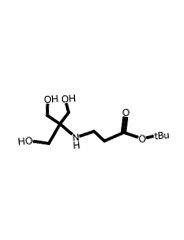 CC(C)(C)OC(=O)CCNC(CO)(CO)CO